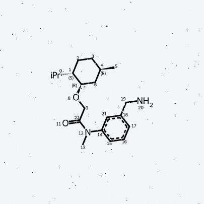 CC(C)[C@@H]1CC[C@@H](C)C[C@H]1OCC(=O)N(C)c1cccc(CN)c1